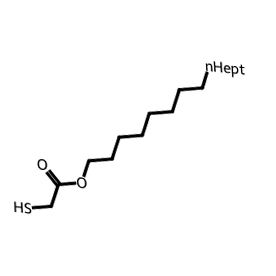 CCCCCCCCCCCCCCCOC(=O)CS